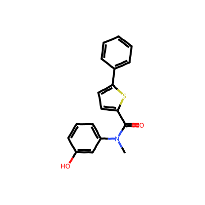 CN(C(=O)c1ccc(-c2ccccc2)s1)c1cccc(O)c1